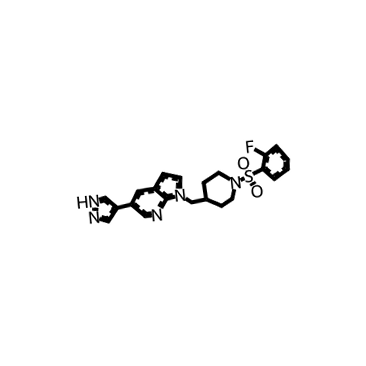 O=S(=O)(c1ccccc1F)N1CCC(Cn2ccc3cc(-c4cn[nH]c4)cnc32)CC1